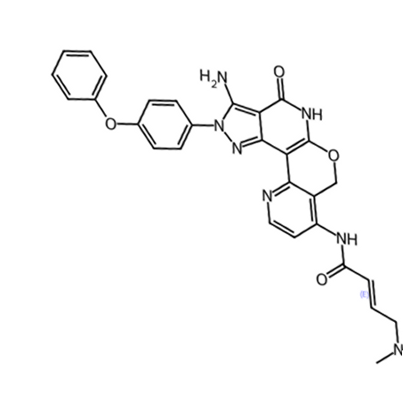 CN(C)C/C=C/C(=O)Nc1ccnc2c1COc1[nH]c(=O)c3c(N)n(-c4ccc(Oc5ccccc5)cc4)nc3c1-2